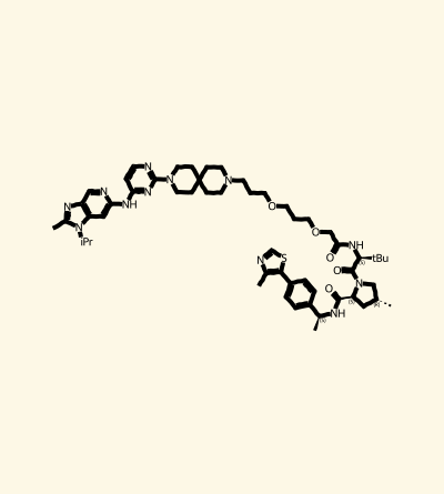 Cc1ncsc1-c1ccc([C@H](C)NC(=O)[C@@H]2C[C@@H](C)CN2C(=O)[C@@H](NC(=O)COCCCOCCCN2CCC3(CC2)CCN(c2nccc(Nc4cc5c(cn4)nc(C)n5C(C)C)n2)CC3)C(C)(C)C)cc1